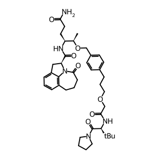 C[C@@H](OCc1ccc(CCCOCC(=O)N[C@H](C(=O)N2CCCC2)C(C)(C)C)cc1)[C@H](CCC(N)=O)NC(=O)[C@@H]1Cc2cccc3c2N1C(=O)CCC3